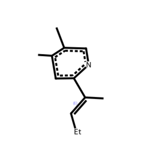 CC/C=C(\C)c1cc(C)c(C)cn1